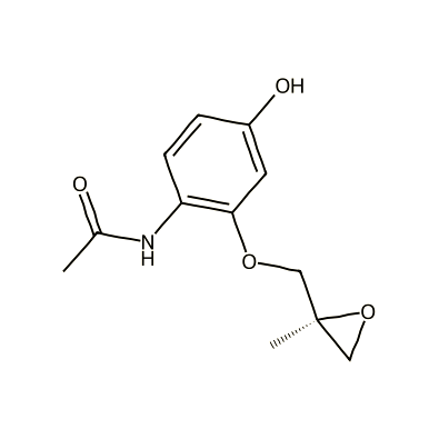 CC(=O)Nc1ccc(O)cc1OC[C@]1(C)CO1